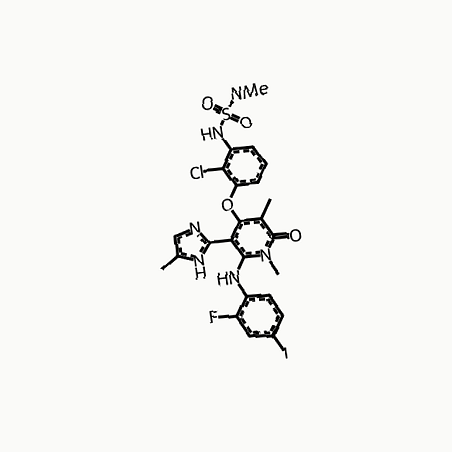 CNS(=O)(=O)Nc1cccc(Oc2c(-c3ncc(C)[nH]3)c(Nc3ccc(I)cc3F)n(C)c(=O)c2C)c1Cl